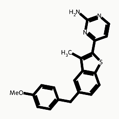 COc1ccc(Cc2ccc3sc(-c4ccnc(N)n4)c(C)c3c2)cc1